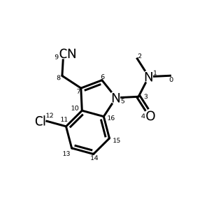 CN(C)C(=O)n1cc(CC#N)c2c(Cl)cccc21